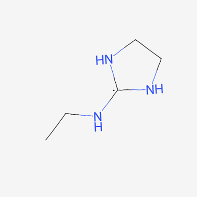 CCN[C]1NCCN1